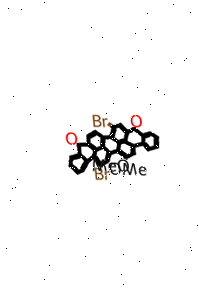 COc1c(Br)c2c3c(ccc4c5c(Br)cc6c7c(cc(OC)c(c1c34)c75)-c1ccccc1C6=O)C(=O)c1ccccc1-2